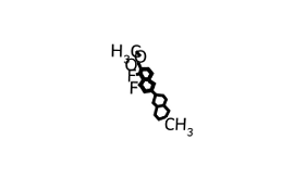 COC(=O)c1ccc2cc(C3CCC4CC(C)CCC4C3)cc(F)c2c1F